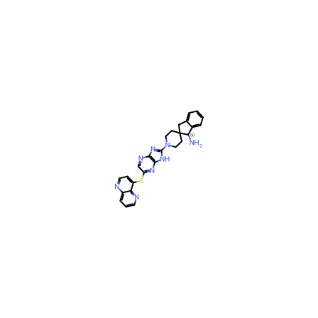 N[C@@H]1c2ccccc2CC12CCN(c1nc3ncc(Sc4ccnc5cccnc45)nc3[nH]1)CC2